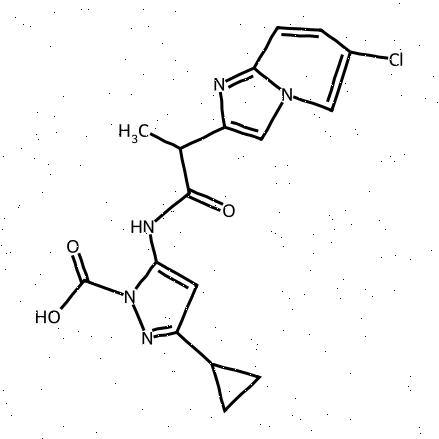 CC(C(=O)Nc1cc(C2CC2)nn1C(=O)O)c1cn2cc(Cl)ccc2n1